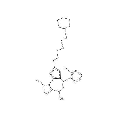 Cc1nnc2n1-c1sc(CCCCCCN3CCOCC3)cc1C(c1ccccc1Cl)=NC2C